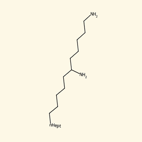 CCCCCCCCCCCCC(N)CCCCCN